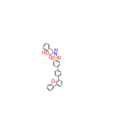 O=C(O)C(Cc1ccccc1)NS(=O)(=O)c1ccc(-c2ccc(-c3cccc4c3oc3ccccc34)cc2)cc1